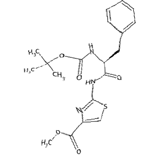 COC(=O)c1csc(NC(=O)[C@H](Cc2ccccc2)NC(=O)OC(C)(C)C)n1